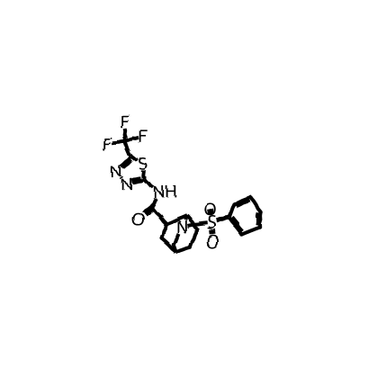 O=C(Nc1nnc(C(F)(F)F)s1)C1CC2CCC1N(S(=O)(=O)c1ccccc1)C2